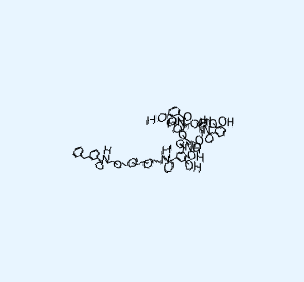 O=C(NCCOCCOCCOCCNC(=O)c1cc(O)c(O)c(C(=O)N[C@H]2COC(=O)[C@@H](NC(=O)c3cccc(O)c3O)COC(=O)[C@@H](NC(=O)c3cccc(O)c3O)COC2=O)c1)c1cccc(Cc2ccccc2)c1